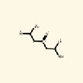 CCCCC(CC)C[P](=O)CC(CC)CCCC